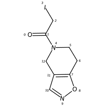 O=C(CI)N1CCc2oncc2C1